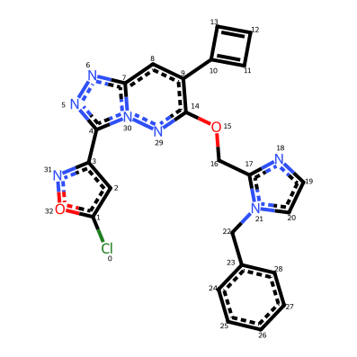 Clc1cc(-c2nnc3cc(C4=CC=C4)c(OCc4nccn4Cc4ccccc4)nn23)no1